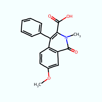 COc1ccc2c(-c3ccccc3)c(C(=O)O)n(C)c(=O)c2c1